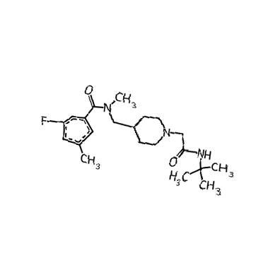 Cc1cc(F)cc(C(=O)N(C)CC2CCN(CC(=O)NC(C)(C)C)CC2)c1